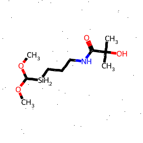 COC(OC)[SiH2]CCCNC(=O)C(C)(C)O